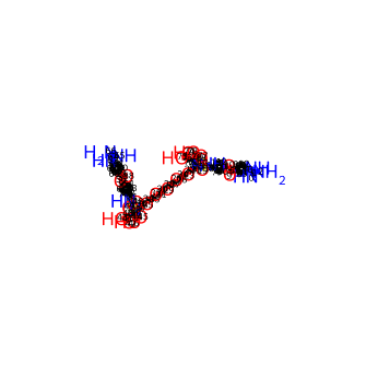 N=C(N)Nc1ccc(C(=O)Oc2ccc(CNS(=O)(=O)N(CCOCCOCCOCCOCCOCCN([C@@H](CC(=O)O)C(=O)O)S(=O)(=O)NCc3ccc(OC(=O)c4ccc(NC(=N)N)cc4)cc3)[C@@H](CC(=O)O)C(=O)O)cc2)cc1